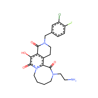 NCCN1CCCCn2c(c3c(c(O)c2=O)C(=O)N(Cc2ccc(F)c(Cl)c2)CC3)C1=O